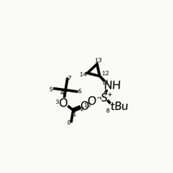 CC(=O)OC(C)(C)C.CC(C)(C)[S+]([O-])NC1CC1